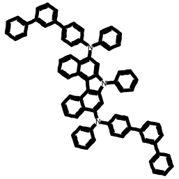 c1ccc(-c2cccc(-c3ccc(N(c4ccccc4)c4cc5c(c6ccccc46)c4c6ccccc6c(N(c6ccccc6)c6ccc(-c7cccc(-c8ccccc8)c7)cc6)cc4n5-c4ccccc4)cc3)c2)cc1